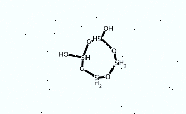 O[SiH]1O[SiH2]O[SiH2]O[SiH](O)O1